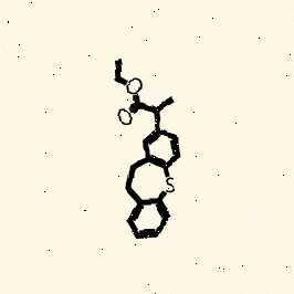 CCOC(=O)C(C)c1ccc2c(c1)CCc1ccccc1S2